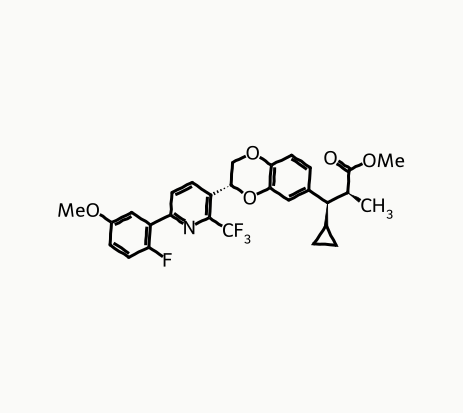 COC(=O)[C@@H](C)[C@H](c1ccc2c(c1)O[C@H](c1ccc(-c3cc(OC)ccc3F)nc1C(F)(F)F)CO2)C1CC1